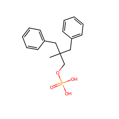 CC(COP(=O)(O)O)(Cc1ccccc1)Cc1ccccc1